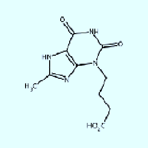 Cc1nc2c([nH]1)c(=O)[nH]c(=O)n2CCCC(=O)O